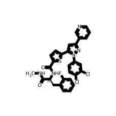 CNC(=O)[C@H](Cc1ccccc1F)NC(=O)c1ccc(-c2cc(-c3cccnc3)nn2-c2ccc(Cl)c(Cl)c2)s1